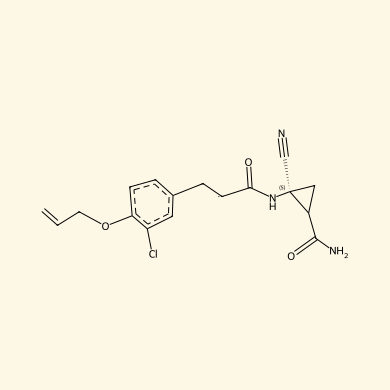 C=CCOc1ccc(C[CH]C(=O)N[C@@]2(C#N)CC2C(N)=O)cc1Cl